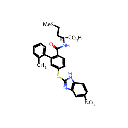 CSCC[C@H](NC(=O)c1ccc(Sc2nc3cc([N+](=O)[O-])ccc3[nH]2)cc1-c1ccccc1C)C(=O)O